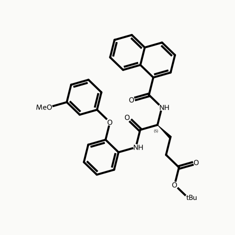 COc1cccc(Oc2ccccc2NC(=O)[C@H](CCC(=O)OC(C)(C)C)NC(=O)c2cccc3ccccc23)c1